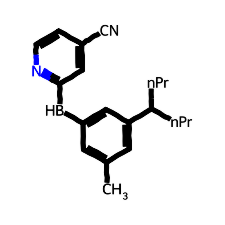 CCCC(CCC)c1cc(C)cc(Bc2cc(C#N)ccn2)c1